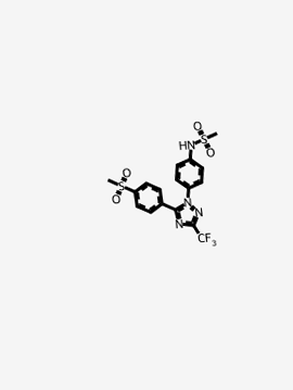 CS(=O)(=O)Nc1ccc(-n2nc(C(F)(F)F)nc2-c2ccc(S(C)(=O)=O)cc2)cc1